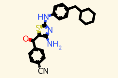 N#Cc1ccc(C(=O)c2sc(Nc3ccc(CC4CCCCC4)cc3)nc2N)cc1